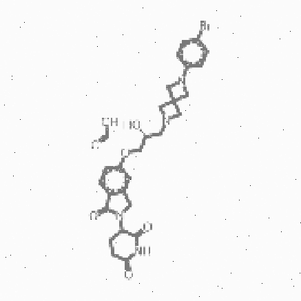 O=C1CCC(N2Cc3cc(OC[C@H](O)CN4CC5(C4)CN(c4ccc(Br)cc4)C5)ccc3C2=O)C(=O)N1.O=CO